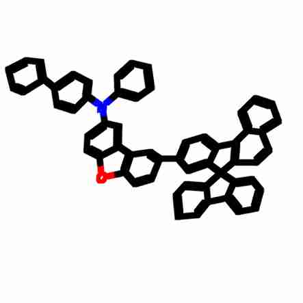 c1ccc(-c2ccc(N(c3ccccc3)c3ccc4oc5ccc(-c6ccc7c(c6)C6(c8ccccc8-c8ccccc86)c6ccc8ccccc8c6-7)cc5c4c3)cc2)cc1